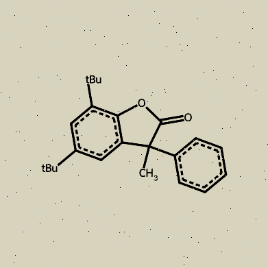 CC(C)(C)c1cc(C(C)(C)C)c2c(c1)C(C)(c1ccccc1)C(=O)O2